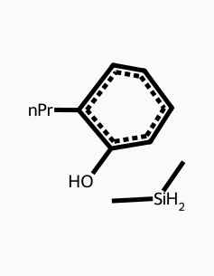 CCCc1ccccc1O.C[SiH2]C